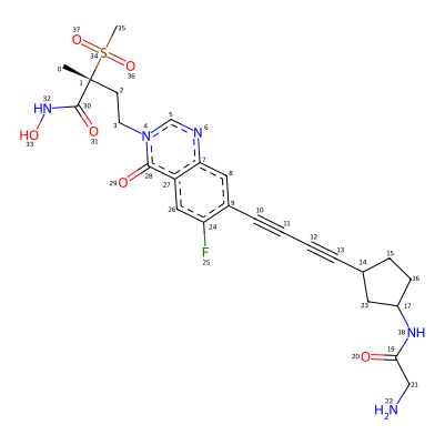 C[C@@](CCn1cnc2cc(C#CC#CC3CCC(NC(=O)CN)C3)c(F)cc2c1=O)(C(=O)NO)S(C)(=O)=O